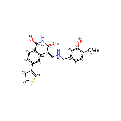 COc1ccc(CN/C=C2\C(=O)NC(=O)c3ccc(C4=CSCC4)cc32)cc1O